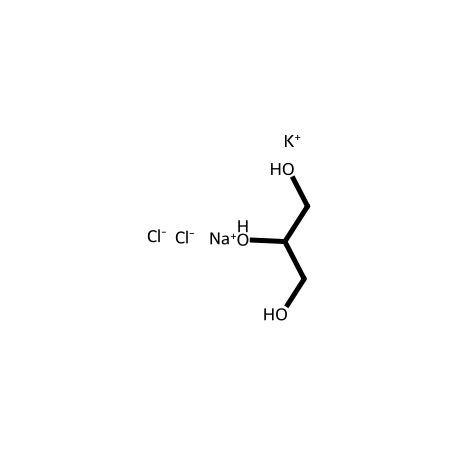 OCC(O)CO.[Cl-].[Cl-].[K+].[Na+]